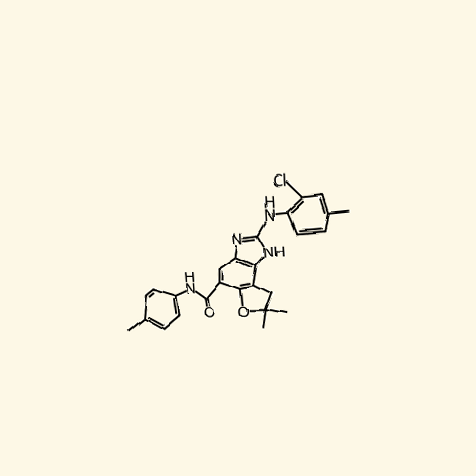 Cc1ccc(NC(=O)c2cc3nc(Nc4ccc(C)cc4Cl)[nH]c3c3c2OC(C)(C)C3)cc1